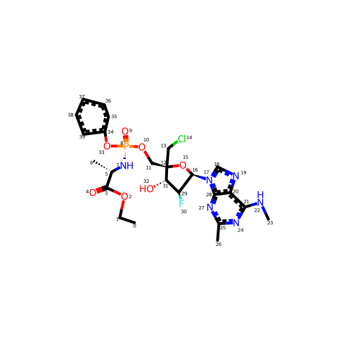 CCOC(=O)[C@H](C)N[P@](=O)(OC[C@@]1(CCl)O[C@@H](n2cnc3c(NC)nc(C)nc32)[C@@H](F)[C@@H]1O)Oc1ccccc1